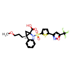 COCCC[C@@]1(c2ccccc2)CC1(NS(=O)(=O)c1ccc(-c2cc(C(F)(F)F)on2)s1)C(=O)O